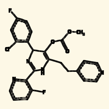 COC(=O)OC1=C(CCc2ccncc2)NC(c2ncccc2F)=NC1c1ccc(F)cc1Cl